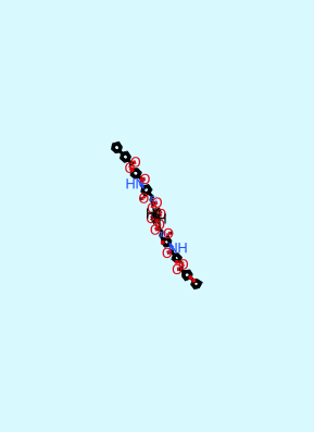 COc1cc(NC(=O)c2ccc(OC(=O)c3ccc(-c4ccccc4)cc3)cc2)ccc1/C=C/C(=O)O[C@H]1CO[C@H]2[C@@H]1OC[C@H]2OC(=O)/C=C/c1ccc(NC(=O)c2ccc(OC(=O)c3ccc(-c4ccccc4)cc3)cc2)cc1OC